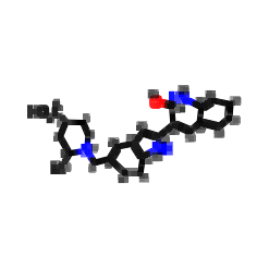 CCC1CC(C(=O)O)CCN1Cc1ccc2[nH]c(-c3cc4ccccc4[nH]c3=O)cc2c1